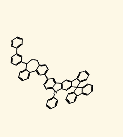 c1ccc(-c2cccc(C3CCc4ccc(-c5ccc6c(c5)c5cc7c(cc5n6-c5ccccc5)C5(c6ccccc6-c6ccccc65)c5ccccc5-7)cc4-c4ccccc43)c2)cc1